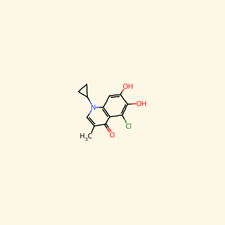 Cc1cn(C2CC2)c2cc(O)c(O)c(Cl)c2c1=O